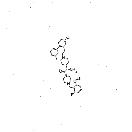 CCOc1cccc(F)c1CN1CCN(C(=O)[C@H](N)C2CCN(CCc3cc(Cl)ccc3-c3cccc(C)c3)CC2)CC1